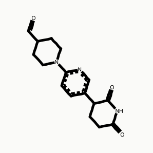 O=CC1CCN(c2ccc(C3CCC(=O)NC3=O)cn2)CC1